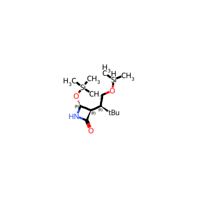 C[SiH](C)OC[C@H]([C@H]1C(=O)N[C@@H]1O[Si](C)(C)C)C(C)(C)C